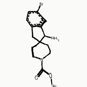 CC(C)(C)OC(=O)N1CCC2(CC1)Cc1ccc(Br)cc1C2N